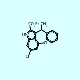 [CH2]C(c1ccccc1)c1c(C(=O)OCC)[nH]c2cc(Cl)cc(Cl)c12